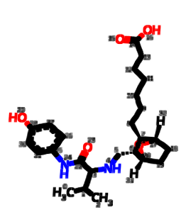 CC(C)C(NC[C@@H]1[C@@H](CCCCCCC(=O)O)[C@@H]2CC[C@H]1O2)C(=O)Nc1ccc(O)cc1